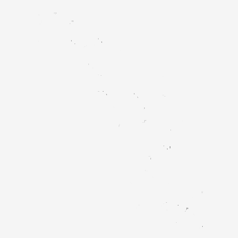 Cc1ccc(NC(=O)c2cccc(C(F)(F)F)c2)cc1-n1c(C)c2cnc(N3CCOCC3)nc2nc1=O